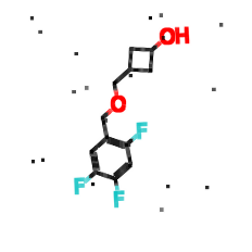 OC1CC(COCc2cc(F)c(F)cc2F)C1